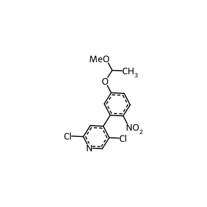 COC(C)Oc1ccc([N+](=O)[O-])c(-c2cc(Cl)ncc2Cl)c1